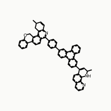 CC1C=Cc2nc(-c3ccc(-c4ccc5c6ccc(C7=CC(C)Nc8c7ccc7cccnc87)cc6c6ccccc6c5c4)cc3)c3ccc4c(c3c2C1)COc1ccccc1-4